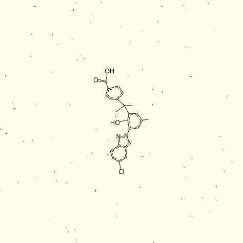 Cc1cc(-n2nc3ccc(Cl)cc3n2)c(O)c(C(C)(C)c2ccc(C(=O)O)cc2)c1